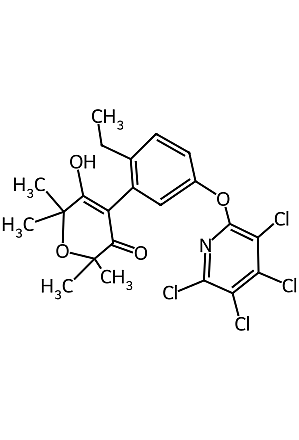 CCc1ccc(Oc2nc(Cl)c(Cl)c(Cl)c2Cl)cc1C1=C(O)C(C)(C)OC(C)(C)C1=O